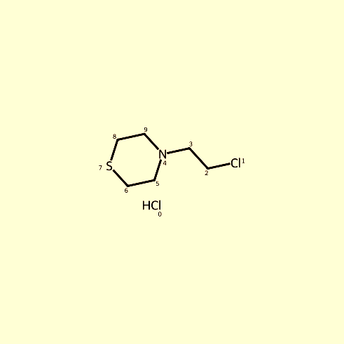 Cl.ClCCN1CCSCC1